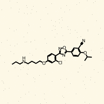 CCCNCCCCOc1ccc(-c2noc(-c3ccc(OC(C)C)c(C#N)c3)n2)c(Cl)c1